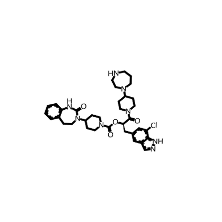 O=C(O[C@H](Cc1cc(Cl)c2[nH]ncc2c1)C(=O)N1CCC(N2CCCNCC2)CC1)N1CCC(N2CCc3ccccc3NC2=O)CC1